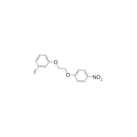 O=[N+]([O-])c1ccc(OCCOc2cccc(I)c2)cc1